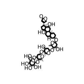 C[C@H]1O[C@@H](O[C@H]2CC[C@]3(C)C4C[C@@H](O)[C@]5(C)[C@@H](C6=CC(=O)OC6)CC[C@]5(O)C4CC[C@@H]3C2)C[C@H](O)[C@@H]1O[C@H]1C[C@H](O)[C@H](O[C@H]2C[C@H](O)[C@H](O[C@@H]3O[C@H](CO)[C@@H](O)[C@H](O)[C@H]3O)[C@@H](C)O2)[C@@H](C)O1